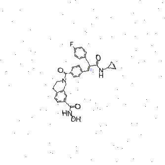 O=C(NC1CC1)/C(=C/c1ccc(C(=O)N2CCc3ccc(C(=O)NO)cc3C2)cc1)c1ccc(F)cc1